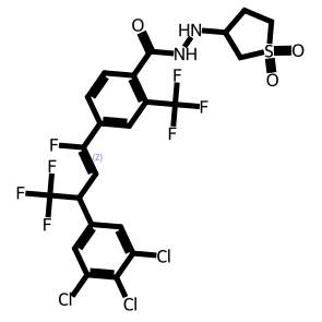 O=C(NNC1CCS(=O)(=O)C1)c1ccc(/C(F)=C/C(c2cc(Cl)c(Cl)c(Cl)c2)C(F)(F)F)cc1C(F)(F)F